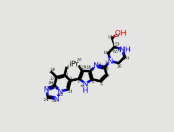 Cc1c(-c2[nH]c3ccc(N4CCN[C@H](CO)C4)nc3c2C(C)C)cn2ncnc2c1C